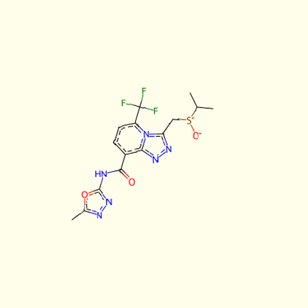 Cc1nnc(NC(=O)c2ccc(C(F)(F)F)n3c(C[S+]([O-])C(C)C)nnc23)o1